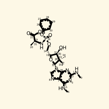 CNc1nc(NC)c2ncn([C@@H]3O[C@H](COP(=O)(N[C@@H](C)C(=O)O)Oc4ccccc4)[C@@H](O)[C@@]3(C)F)c2n1